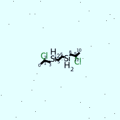 CC(Cl)C[SiH2]CC[SiH2]CC(C)Cl